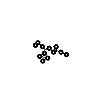 c1ccc(-c2ccc(-n3c4ccccc4c4c(-c5cccc(N(c6ccc(-c7cccc8ccccc78)cc6)c6ccc([Si](c7ccccc7)(c7ccccc7)c7ccccc7)cc6)c5)cccc43)cc2)cc1